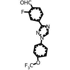 O=Cc1ccc(-c2ncn(-c3ccc(OC(F)(F)F)cc3)n2)cc1F